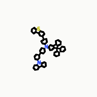 c1ccc(C2(c3ccccc3)c3ccccc3-c3cc(N(c4ccc(-c5cccc(-n6c7ccccc7c7ccccc76)c5)cc4)c4ccc(-c5ccc6sc7ccccc7c6c5)cc4)ccc32)cc1